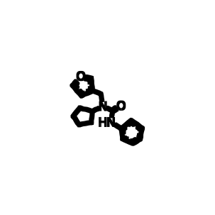 O=C(Nc1ccccc1)N(Cc1ccoc1)C1CCCC1